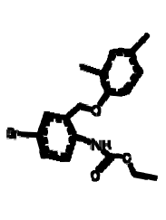 CCOC(=O)Nc1ccc(Br)cc1COc1ccc(C)cc1C